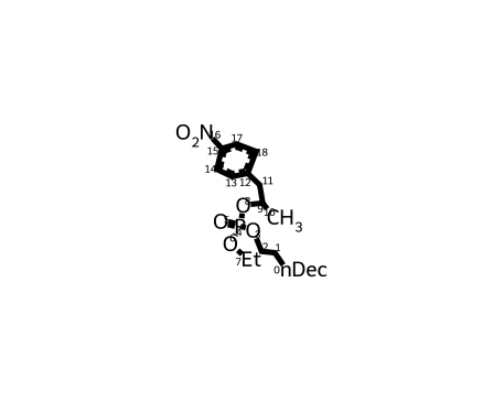 CCCCCCCCCCCCOP(=O)(OCC)OC(C)Cc1ccc([N+](=O)[O-])cc1